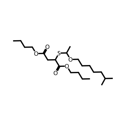 CCCCOC(=O)CC(SC(C)OCCCCCC(C)C)C(=O)OCCCC